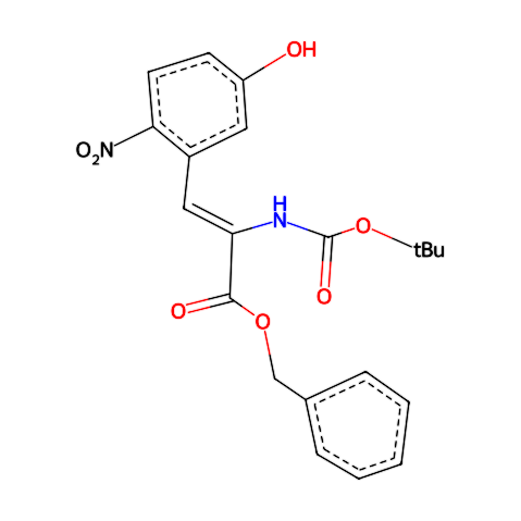 CC(C)(C)OC(=O)N/C(=C\c1cc(O)ccc1[N+](=O)[O-])C(=O)OCc1ccccc1